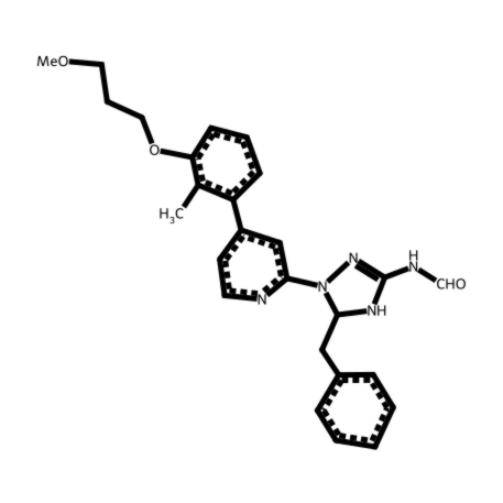 COCCCOc1cccc(-c2ccnc(N3N=C(NC=O)NC3Cc3ccccc3)c2)c1C